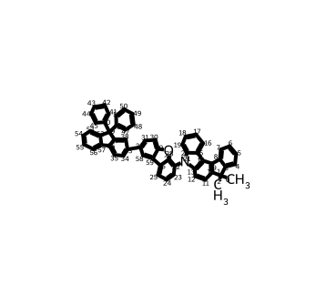 CC1(C)c2ccccc2-c2c1ccc1c2c2ccccc2n1-c1cccc2c1oc1ccc(-c3ccc4c(c3)C(c3ccccc3)(c3ccccc3)c3ccccc3-4)cc12